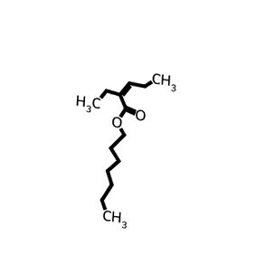 CCC=C(CC)C(=O)OCCCCCCC